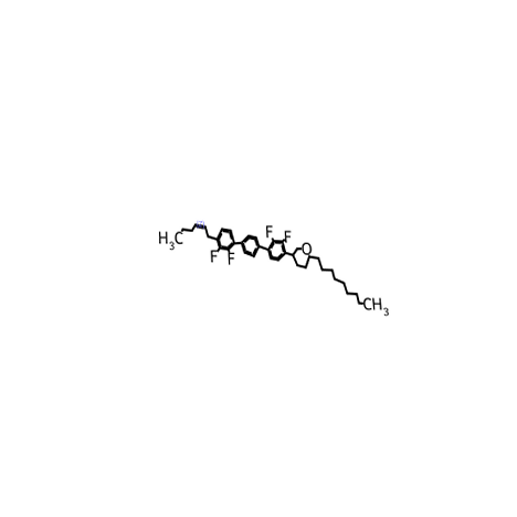 CCC/C=C\Cc1ccc(-c2ccc(-c3ccc(C4CCC(CCCCCCCCC)OC4)c(F)c3F)cc2)c(F)c1F